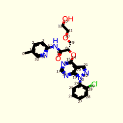 Cc1ccc(NC(=O)[C@H](COCCO)Oc2ncnc3c2cnn3-c2ccccc2Cl)nc1